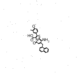 COc1ccc(-c2sc3c(N)c(Cc4cccc5ccccc45)cc(=O)n3c2C(=O)O)cc1C